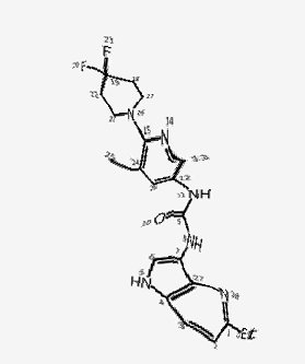 CCc1ccc2[nH]cc(NC(=O)Nc3cnc(N4CCC(F)(F)CC4)c(C)c3)c2n1